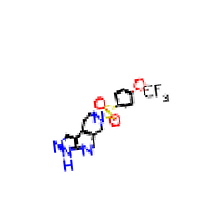 O=S(=O)(c1ccc(OC(F)(F)F)cc1)N1CCc2c(cnc3[nH]ncc23)C1